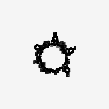 CCCC[C@@H]1NC(=O)[C@H](Cc2cccc(I)c2)NC(=O)CN(C)C(=O)[C@H](Cc2ccc(Cl)cc2)N(C)C(=O)CN(C)C(=O)CN(C)C(=O)[C@H]([C@@H](C)CC)NC(=O)[C@H](CC(C)C)N(C)C(=O)C[C@@H](C(=O)N2CCCCC2)N(C)C(=O)[C@H](CC(C)C)NC(=O)[C@H](Cc2cccc(Cl)c2)N(C)C1=O